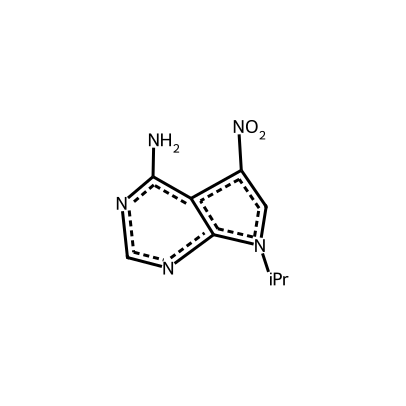 CC(C)n1cc([N+](=O)[O-])c2c(N)ncnc21